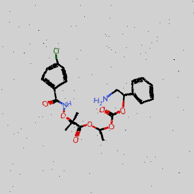 CC(OC(=O)OC(CN)c1ccccc1)OC(=O)C(C)(C)ONC(=O)c1ccc(Cl)cc1